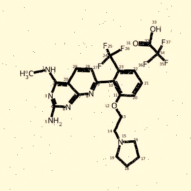 CNc1nc(N)nc2nc(-c3c(OCCN4CCCC4)cccc3C(F)(F)F)ccc12.O=C(O)C(F)(F)F